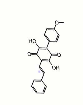 COc1ccc(C2=C(O)C(=O)C(/C=C/c3ccccc3)=C(O)C2=O)cc1